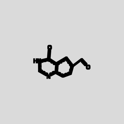 O=Cc1ccc2nc[nH]c(=O)c2c1